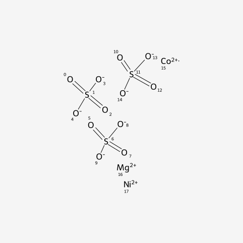 O=S(=O)([O-])[O-].O=S(=O)([O-])[O-].O=S(=O)([O-])[O-].[Co+2].[Mg+2].[Ni+2]